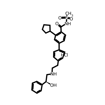 CS(=O)(=O)NC(=O)c1ccc(-c2ccc(CCNC[C@@H](O)c3ccccc3)cc2)cc1C1CCCC1.Cl